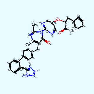 CCCCc1nc(C)n(-c2ncc(OC(Cc3ccccc3)C(=O)OC)cn2)c(=O)c1Cc1ccc(-c2ccccc2-c2nnn[nH]2)cc1